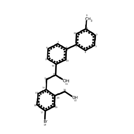 Cc1cccc(-c2cccc(C(O)Cc3ccc(Br)cc3CO)c2)c1